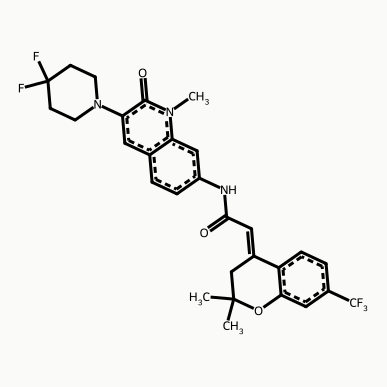 Cn1c(=O)c(N2CCC(F)(F)CC2)cc2ccc(NC(=O)/C=C3\CC(C)(C)Oc4cc(C(F)(F)F)ccc43)cc21